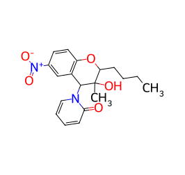 CCCCC1Oc2ccc([N+](=O)[O-])cc2C(n2ccccc2=O)C1(C)O